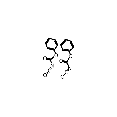 O=C=NC(=O)Oc1ccccc1.O=C=NC(=O)Oc1ccccc1